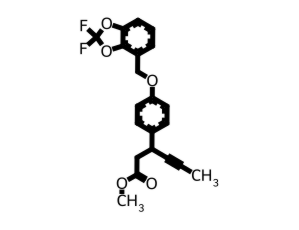 CC#CC(CC(=O)OC)c1ccc(OCc2cccc3c2OC(F)(F)O3)cc1